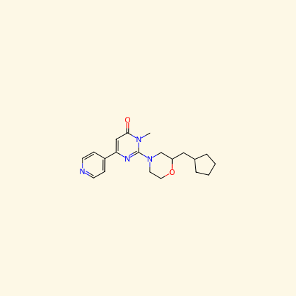 Cn1c(N2CCOC(CC3CCCC3)C2)nc(-c2ccncc2)cc1=O